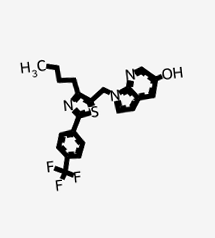 CCCCc1nc(-c2ccc(C(F)(F)F)cc2)sc1Cn1ccc2cc(O)cnc21